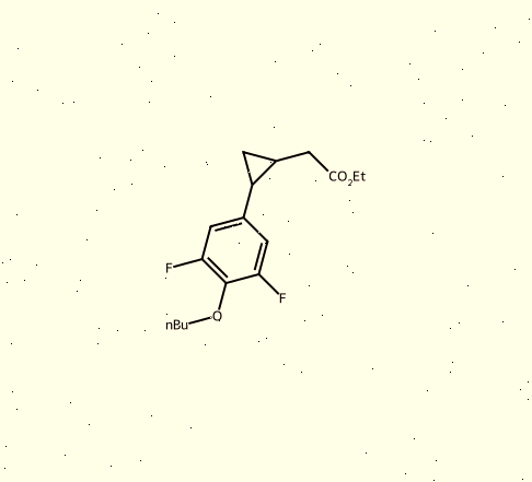 CCCCOc1c(F)cc(C2CC2CC(=O)OCC)cc1F